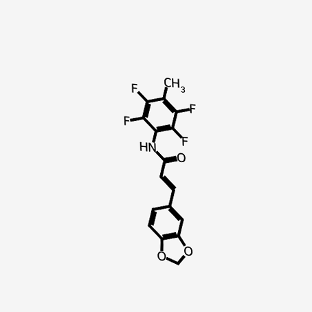 Cc1c(F)c(F)c(NC(=O)/C=C/c2ccc3c(c2)OCO3)c(F)c1F